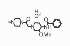 COC1CN(CC(=O)N2CCN(C)CC2)CCC1NC(=O)c1ccccc1.O